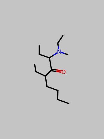 CCCCC(CC)C(=O)C(CC)N(C)CC